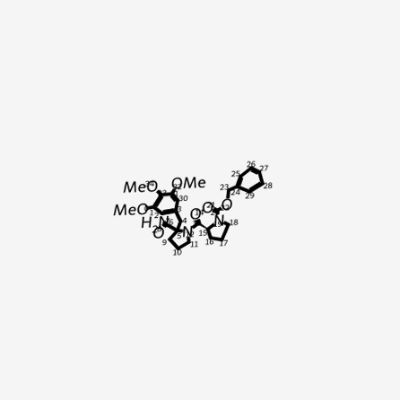 COc1cc(CC2(C(N)=O)CCCN2C(=O)[C@@H]2CCCN2C(=O)OCc2ccccc2)cc(OC)c1OC